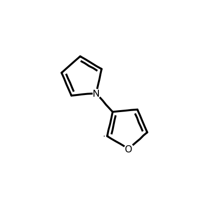 [c]1occc1-n1cccc1